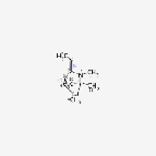 C/C=C(\C=C/CC)N(C)C(C)(C)I